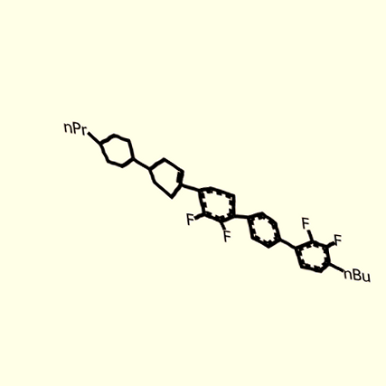 CCCCc1ccc(-c2ccc(-c3ccc(C4=CCC(C5CCC(CCC)CC5)CC4)c(F)c3F)cc2)c(F)c1F